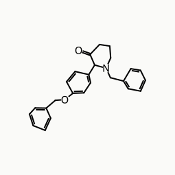 O=C1CCCN(Cc2ccccc2)C1c1ccc(OCc2ccccc2)cc1